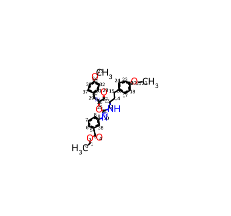 CCOC(=O)c1cccc(/N=C(/NCCCc2ccc(OCC)cc2)O/C(C=O)=C/c2ccc(OC)cc2)c1